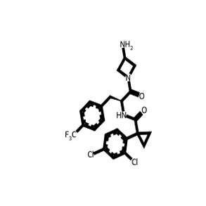 NC1CN(C(=O)[C@H](Cc2ccc(C(F)(F)F)cc2)NC(=O)C2(c3ccc(Cl)cc3Cl)CC2)C1